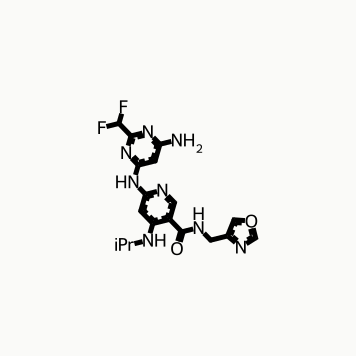 CC(C)Nc1cc(Nc2cc(N)nc(C(F)F)n2)ncc1C(=O)NCc1cocn1